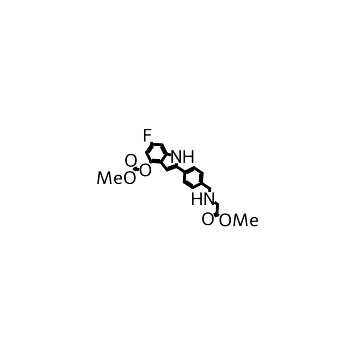 COC(=O)CNCc1ccc(-c2cc3c(OC(=O)OC)cc(F)cc3[nH]2)cc1